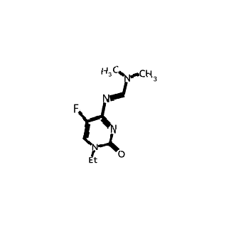 CCn1cc(F)c(N=CN(C)C)nc1=O